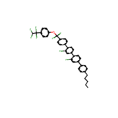 CCCCCc1ccc(-c2ccc(-c3ccc(-c4ccc(C(F)(F)Oc5ccc(C(F)(F)C(F)F)cc5)cc4)c(F)c3)c(F)c2)cc1